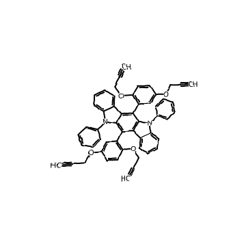 C#CCOc1ccc(OCC#C)c(-c2c3c4ccccc4n(-c4ccccc4)c3c(-c3cc(OCC#C)ccc3OCC#C)c3c4ccccc4n(-c4ccccc4)c23)c1